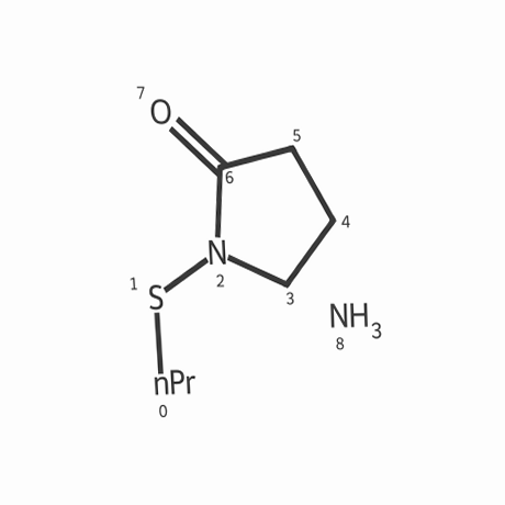 CCCSN1CCCC1=O.N